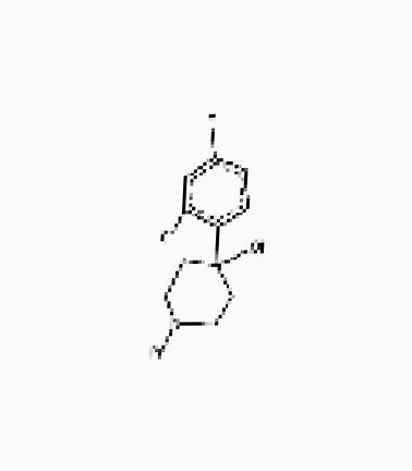 CC(C)N1CCC(O)(c2ccc(F)cc2Cl)CC1